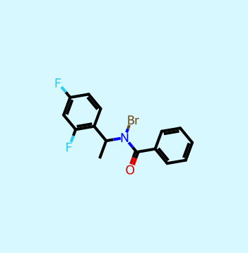 CC(c1ccc(F)cc1F)N(Br)C(=O)c1ccccc1